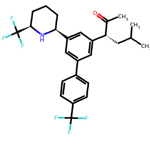 CC(=O)[C@H](CC(C)C)c1cc(-c2ccc(C(F)(F)F)cc2)cc([C@@H]2CCC[C@H](C(F)(F)F)N2)c1